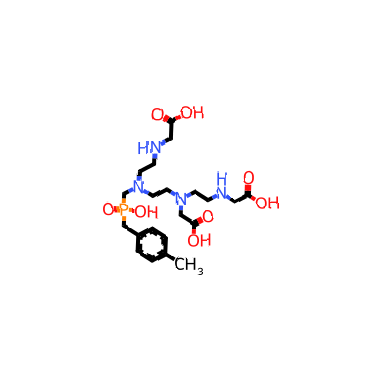 Cc1ccc(CP(=O)(O)CN(CCNCC(=O)O)CCN(CCNCC(=O)O)CC(=O)O)cc1